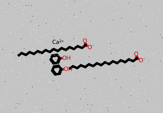 CCCCCCCCCCCCCCCCCC(=O)[O-].CCCCCCCCCCCCCCCCCC(=O)[O-].Oc1ccccc1.Oc1ccccc1.[Ca+2]